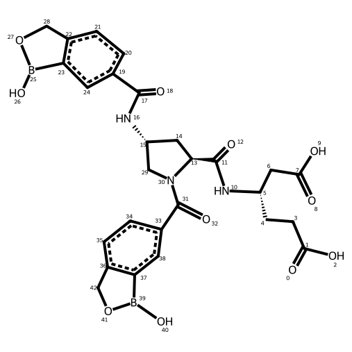 O=C(O)CC[C@@H](CC(=O)O)NC(=O)[C@@H]1C[C@@H](NC(=O)c2ccc3c(c2)B(O)OC3)CN1C(=O)c1ccc2c(c1)B(O)OC2